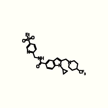 CCS(=O)(=O)c1ccc(CNC(=O)c2ccc3c(c2)cc(CN2CCC(C(F)(F)F)CC2)n3C2CC2)nc1